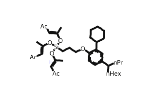 CCCCCCC(CCC)c1ccc(OCCC[Si](OC(C)=CC(C)=O)(OC(C)=CC(C)=O)O/C(C)=C/C(C)=O)c(C2CCCCC2)c1